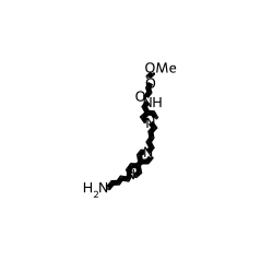 COCCOCCC(=O)NCC1CCN(CCCCCN2CCC(C3CCN(CCCCCN)CC3)CC2)CC1